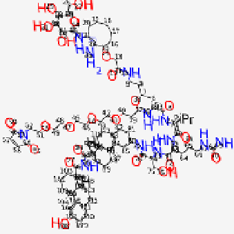 CC(C)[C@H](NC(=O)[C@@H](CCCCNC(=O)COC1CCCCC/C(N[C@@H]2O[C@H](CO)[C@H](O)[C@H](O)[C@H]2O)=C\1N)NC(=O)CCOCCOCCOCCOCCN1C(=O)C=CC1=O)C(=O)N[C@@H](CCCNC(N)=O)C(=O)NC(CO)C(=O)Nc1ccc2c(c1)[C@@]1(C)CCC[C@](C)(C(=O)NC(=O)[C@@]3(C)CCC[C@]4(C)c5cc(O)ccc5CC[C@@H]34)[C@@H]1CC2